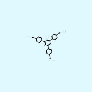 C#Cc1ccc(-c2c(Cl)c(-c3ccc(C#C)cc3)c(Cl)c(-c3ccc(C#C)cc3)c2Cl)cc1